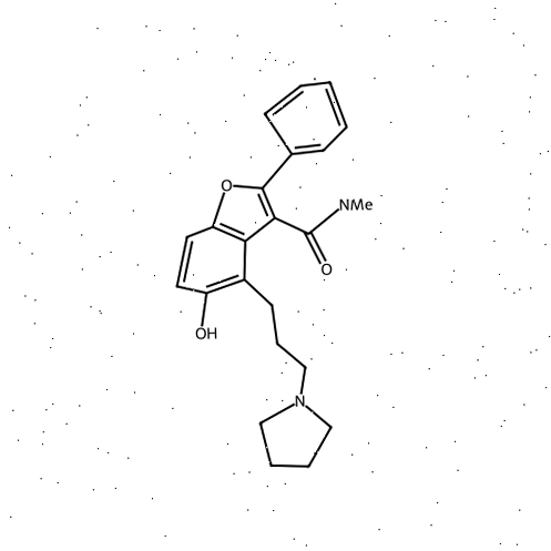 CNC(=O)c1c(-c2ccccc2)oc2ccc(O)c(CCCN3CCCC3)c12